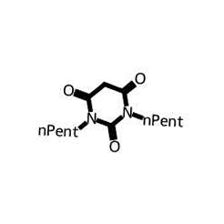 CCCCCN1C(=O)CC(=O)N(CCCCC)C1=O